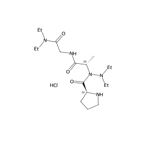 CCN(CC)C(=O)CNC(=O)[C@H](C)N(C(=O)[C@@H]1CCCN1)N(CC)CC.Cl